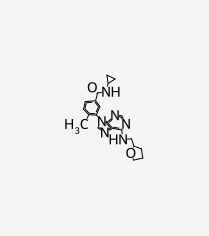 Cc1ccc(C(=O)NC2CC2)cc1-n1cnc2c(NCC3CCCO3)ncnc21